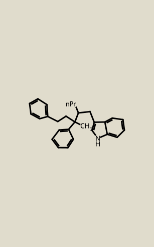 CCCC(Cc1c[nH]c2ccccc12)C(C)(CCc1ccccc1)c1ccccc1